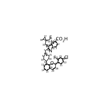 O=C(O)c1ccc2nc(CN3CCC(c4cccc5c4OC(c4ccc(Cl)cc4F)C=C5)CC3)n(CC3(CF)CC3)c2n1